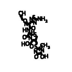 C#CCON=C(C(=O)NC1C(=O)N2C(C(=O)O)=C(CSc3nc(=O)c(O)nn3C)CS[C@@H]12)c1nsc(N)n1